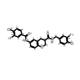 O=C(Nc1ccc2c(c1)CC(C(=O)NCc1ccc(Cl)c(F)c1)CO2)c1ccc(Cl)c(F)c1